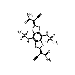 CS(=O)(=O)Nc1c2c(c(NS(C)(=O)=O)c3c1SC(=C(C#N)C(N)=O)S3)SC(=C(C#N)C(N)=O)S2